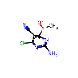 C[S+]([O-])c1nc(N)nc(Cl)c1C#N